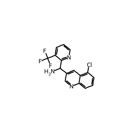 NC(c1cnc2cccc(Cl)c2c1)c1ncccc1C(F)(F)F